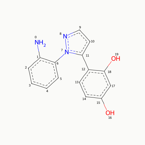 Nc1ccccc1-n1nccc1-c1ccc(O)cc1O